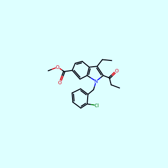 CCC(=O)c1c(CC)c2ccc(C(=O)OC)cc2n1Cc1ccccc1Cl